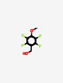 [CH2]Oc1c(F)c(F)c(CO)c(F)c1F